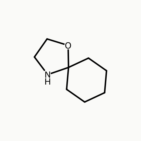 C1CCC2(CC1)NCCO2